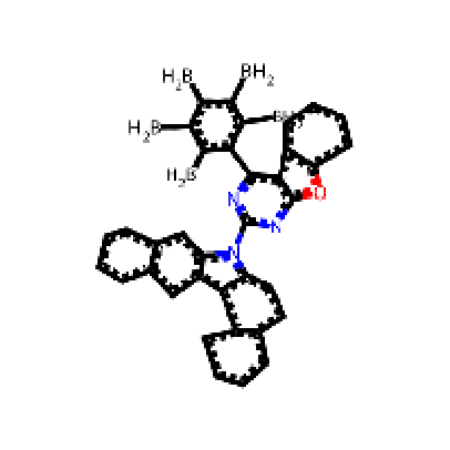 Bc1c(B)c(B)c(-c2nc(-n3c4cc5ccccc5cc4c4c5ccccc5ccc43)nc3oc4ccccc4c23)c(B)c1B